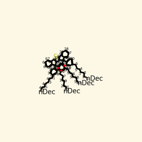 CCCCCCCCCCCCCCCCc1ccc(C2(c3ccc(CCCCCCCCCCCCCCCC)cc3)c3ccccc3-c3sc4c(c32)C(c2ccc(CCCCCCCCCCCCCCCC)cc2)(c2ccc(CCCCCCCCCCCCCCCC)cc2)c2ccccc2-4)cc1